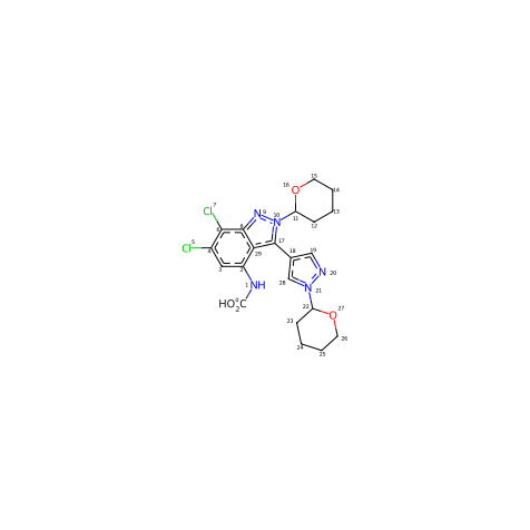 O=C(O)Nc1cc(Cl)c(Cl)c2nn(C3CCCCO3)c(-c3cnn(C4CCCCO4)c3)c12